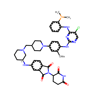 COc1cc(N2CCC(CN3CCC[C@H](Nc4ccc5c(c4)C(=O)N(C4CCC(=O)NC4=O)C5=O)C3)CC2)ccc1Nc1ncc(Cl)c(Nc2ccccc2P(C)C)n1